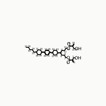 C=C(CO)C(=O)OCCCC(CCCOC(=O)C(=C)CO)C1CCC(c2ccc(C3CCC(CCCCC)CC3)cc2)CC1